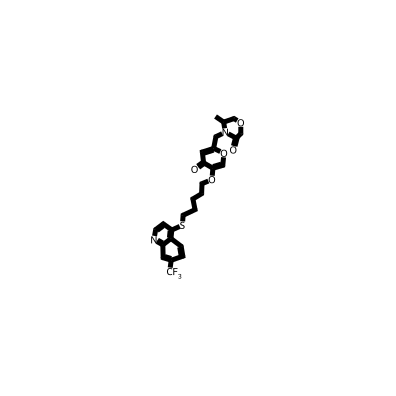 CC1COCC(=O)N1Cc1cc(=O)c(OCCCCCSc2ccnc3cc(C(F)(F)F)ccc23)co1